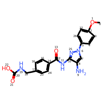 COc1ccc(-n2cc(N)c(NC(=O)c3ccc(CNC(=O)O)cc3)n2)cc1